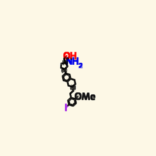 COc1ccc(I)cc1CC[C@@H]1CCc2cc([C@H]3CC[C@](N)(CO)C3)ccc2C1